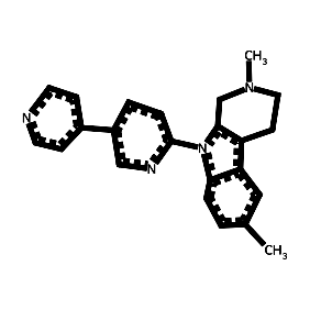 Cc1ccc2c(c1)c1c(n2-c2ccc(-c3ccncc3)cn2)CN(C)CC1